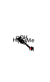 COc1c(OCCCCCCCn2ccnc2)ccc2c1CN1C(=N2)NC(=O)C1CO